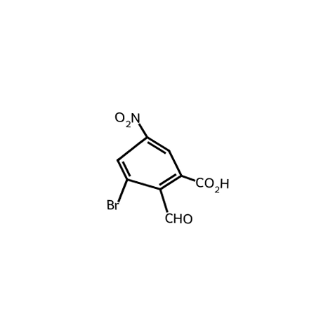 O=Cc1c(Br)cc([N+](=O)[O-])cc1C(=O)O